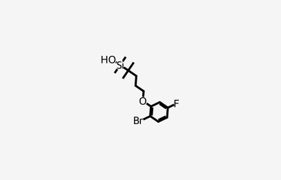 CC(C)(CCCOc1cc(F)ccc1Br)[Si](C)(C)O